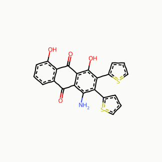 Nc1c2c(c(O)c(-c3cccs3)c1-c1cccs1)C(=O)c1c(O)cccc1C2=O